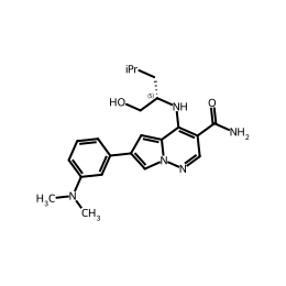 CC(C)C[C@@H](CO)Nc1c(C(N)=O)cnn2cc(-c3cccc(N(C)C)c3)cc12